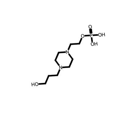 O=P(O)(O)OCCN1CCN(CCCO)CC1